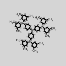 Cc1cc(C)cc(N(c2ccc(N(c3ccc(N(c4cc(C)cc(C)c4)c4cc(C)cc(C)c4)cc3)c3ccc(N(c4cc(C)cc(C)c4)c4cc(C)cc(C)c4)cc3)cc2)c2cc(C)cc(C)c2)c1